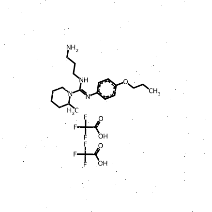 CCCOc1ccc(/N=C(\NCCCN)N2CCCCC2C)cc1.O=C(O)C(F)(F)F.O=C(O)C(F)(F)F